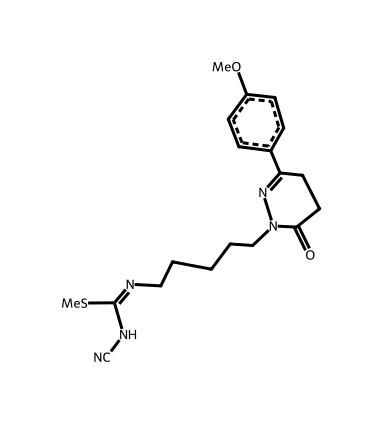 COc1ccc(C2=NN(CCCCCN=C(NC#N)SC)C(=O)CC2)cc1